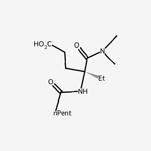 CCCCCC(=O)N[C@@](CC)(CCC(=O)O)C(=O)N(C)C